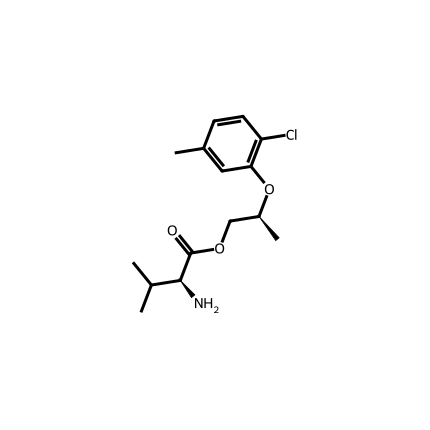 Cc1ccc(Cl)c(O[C@@H](C)COC(=O)[C@@H](N)C(C)C)c1